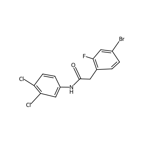 O=C(Cc1ccc(Br)cc1F)Nc1ccc(Cl)c(Cl)c1